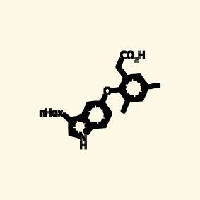 CCCCCCc1c[nH]c2ccc(Oc3c(C)cc(C)cc3CC(=O)O)cc12